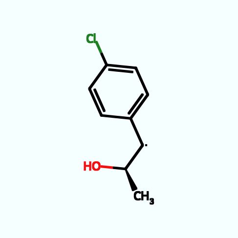 C[C@@H](O)[CH]c1ccc(Cl)cc1